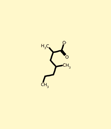 CCCC(C)CC(C)C([O])=O